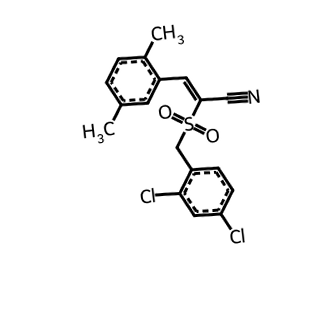 Cc1ccc(C)c(C=C(C#N)S(=O)(=O)Cc2ccc(Cl)cc2Cl)c1